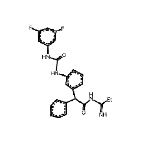 CCC(=N)NC(=O)C(c1ccccc1)c1cccc(NC(=O)Nc2cc(F)cc(F)c2)c1